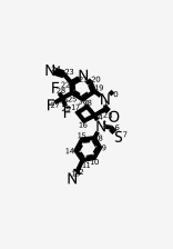 CN(C(=O)C1(N(C=S)c2ccc(C#N)cc2)CCC1)c1cnc(C#N)c(C(F)(F)F)c1